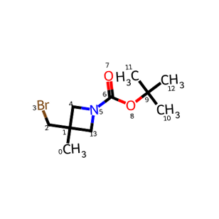 CC1(CBr)CN(C(=O)OC(C)(C)C)C1